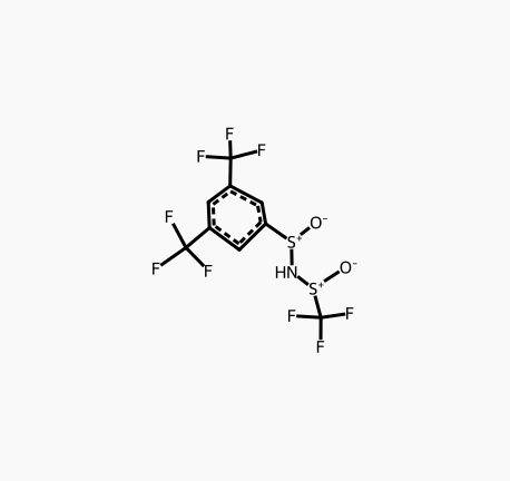 [O-][S+](N[S+]([O-])C(F)(F)F)c1cc(C(F)(F)F)cc(C(F)(F)F)c1